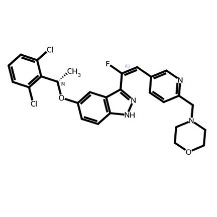 C[C@H](Oc1ccc2[nH]nc(/C(F)=C\c3ccc(CN4CCOCC4)nc3)c2c1)c1c(Cl)cccc1Cl